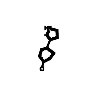 Clc1ccc(-c2[c][nH]cc2)cc1